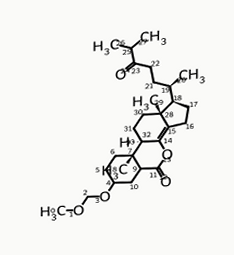 COCOC1CC[C@@]2(C)C(C1)C(=O)OC1=C3CC[C@H]([C@H](C)CCC(=O)C(C)C)[C@@]3(C)CC[C@@H]12